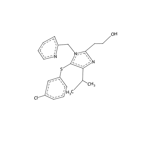 CC(C)c1nc(CCO)n(Cc2ccccn2)c1Sc1cccc(Cl)c1